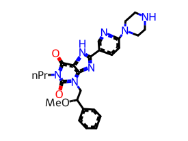 CCCn1c(=O)c2[nH]c(-c3ccc(N4CCNCC4)nc3)nc2n(CC(OC)c2ccccc2)c1=O